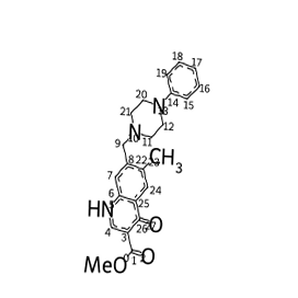 COC(=O)c1c[nH]c2cc(CN3CCN(c4ccccc4)CC3)c(C)cc2c1=O